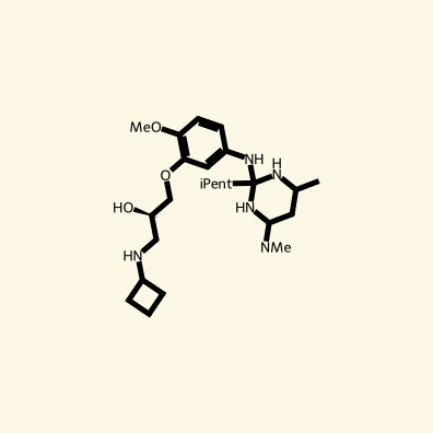 CCCC(C)C1(Nc2ccc(OC)c(OC[C@H](O)CNC3CCC3)c2)NC(C)CC(NC)N1